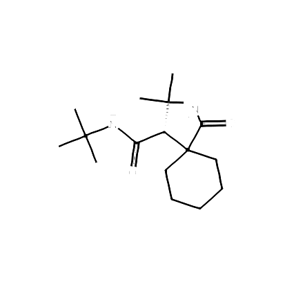 CC(C)(C)NC(=O)[C@H](C(C)(C)C)C1(C(N)=O)CCCCC1